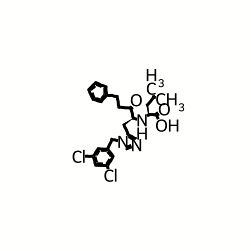 CC(C)C[C@H](N[C@@H](Cc1cncn1Cc1cc(Cl)cc(Cl)c1)C(=O)CCc1ccccc1)C(=O)O